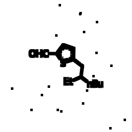 CCCCC(CC)Cc1ccc(C=O)s1